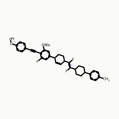 CCCOc1ccc(C#Cc2c(F)cc(C3C=CC(/C(F)=C(\F)C4CCC(c5ccc(C)cc5)CC4)CC3)cc2OC)cc1